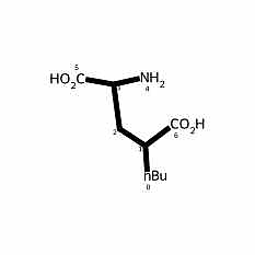 CCCCC(CC(N)C(=O)O)C(=O)O